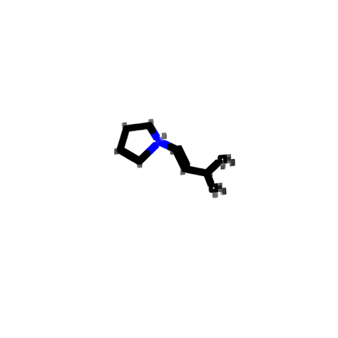 CC(C)C=CN1CCCC1